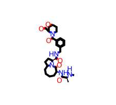 CN[C@@H](C)C(=O)N[C@H]1CCCCC2CC[C@@H](C(=O)NCc3cccc(C(=O)N4CCC5CC4C(=O)O5)c3)N2C1=O